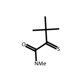 [CH2]NC(=O)C(=S)C(C)(C)C